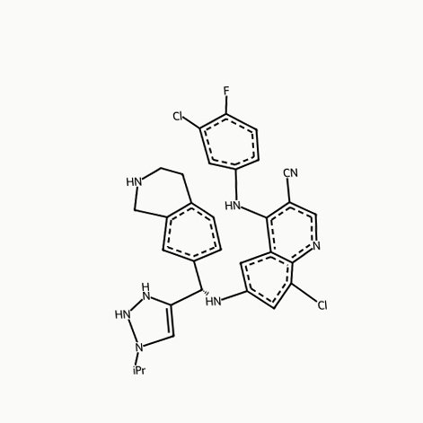 CC(C)N1C=C([C@@H](Nc2cc(Cl)c3ncc(C#N)c(Nc4ccc(F)c(Cl)c4)c3c2)c2ccc3c(c2)CNCC3)NN1